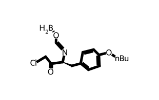 BOC=N[C@@H](Cc1ccc(OCCCC)cc1)C(=O)CCl